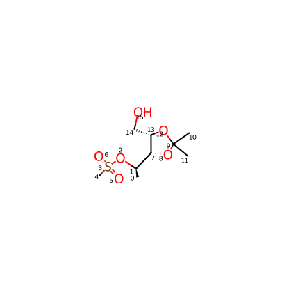 C[C@@H](OS(C)(=O)=O)[C@H]1OC(C)(C)O[C@H]1CO